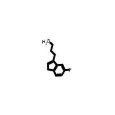 BCCCC1=CCc2ccc(F)cc21